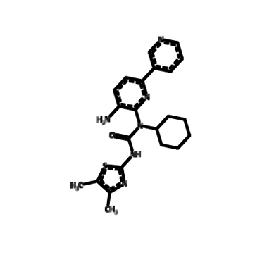 Cc1nc(NC(=O)N(c2nc(-c3cccnc3)ccc2N)C2CCCCC2)sc1C